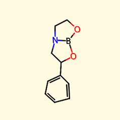 c1ccc(C2CN3CCOB3O2)cc1